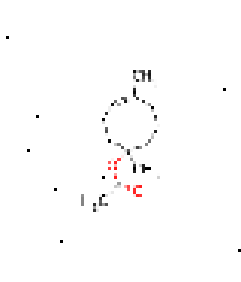 CC(=O)OC1(C)CCC=C(C)CCC1